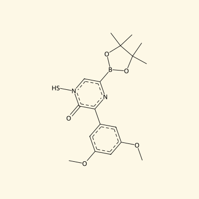 COc1cc(OC)cc(-c2nc(B3OC(C)(C)C(C)(C)O3)cn(S)c2=O)c1